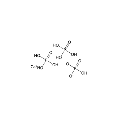 O=P(O)(O)O.O=P(O)(O)O.O=P([O-])([O-])O.[Ca+2]